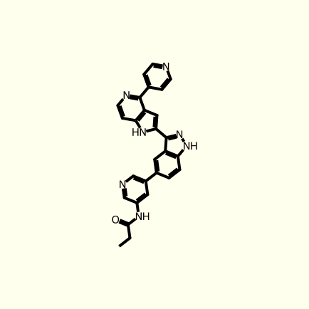 CCC(=O)Nc1cncc(-c2ccc3[nH]nc(-c4cc5c(-c6ccncc6)nccc5[nH]4)c3c2)c1